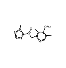 COc1c(C)cnc(C[S+]([O-])c2nnnn2C)c1C